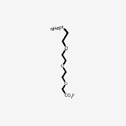 CCCCCCCCCOCCOCCOCC(=O)O